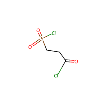 O=C(Cl)CCS(=O)(=O)Cl